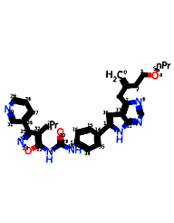 C=C(CCOCCC)Cc1ncnc2[nH]c(-c3ccc(NC(=O)Nc4onc(-c5cccnc5)c4C(C)C)cc3)cc12